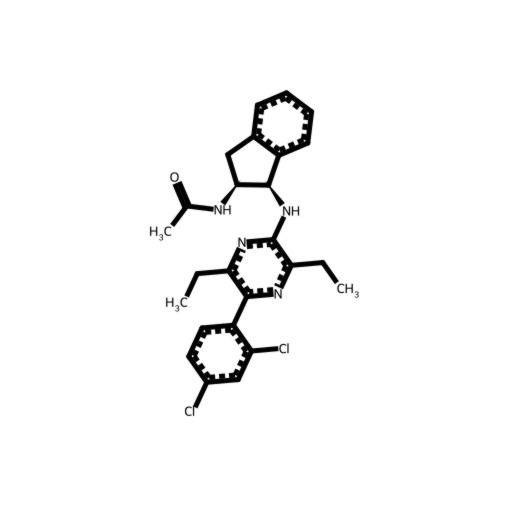 CCc1nc(-c2ccc(Cl)cc2Cl)c(CC)nc1N[C@@H]1c2ccccc2C[C@@H]1NC(C)=O